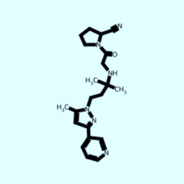 Cc1cc(-c2cccnc2)nn1CCC(C)(C)NCC(=O)N1CCCC1C#N